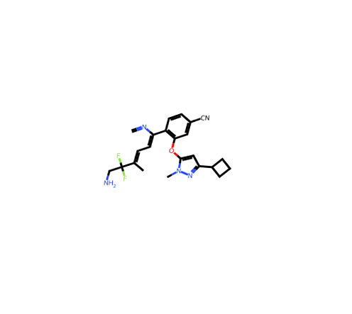 C=N/C(=C\C=C(/C)C(F)(F)CN)c1ccc(C#N)cc1Oc1cc(C2CCC2)nn1C